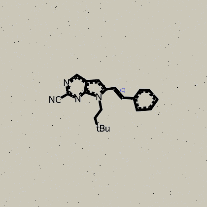 CC(C)(C)CCn1c(/C=C/c2ccccc2)cc2cnc(C#N)nc21